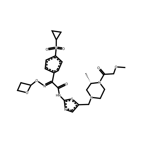 COCC(=O)N1CCN(Cc2cnc(NC(=O)/C(=N/OC3CCO3)c3ccc(S(=O)(=O)C4CC4)cc3)s2)C[C@@H]1C